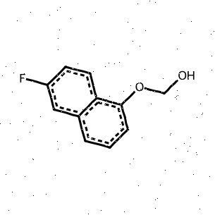 OCOc1cccc2cc(F)ccc12